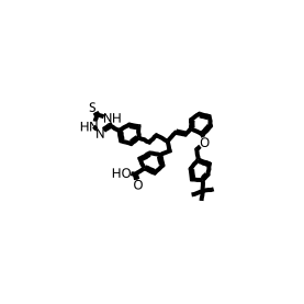 CC(C)(C)c1ccc(COc2ccccc2C=CC(CCc2ccc(-c3n[nH]c(=S)[nH]3)cc2)Cc2ccc(C(=O)O)cc2)cc1